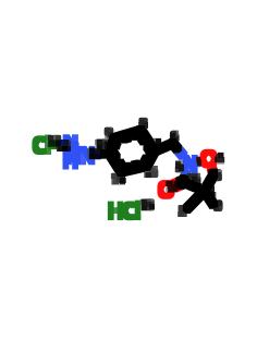 CC1(C)CON(Cc2ccc(NNCl)cc2)C1=O.Cl